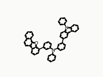 c1ccc(N(c2cccc(-c3ccc4c(c3)c3ccccc3n4-c3ccccc3)c2)c2cccc(-c3cccc4c3oc3c5ccccc5ccc43)c2)cc1